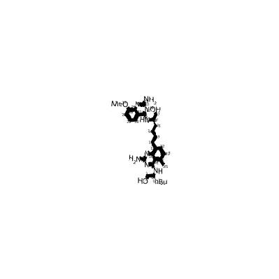 CCCC[C@H](CO)Nc1nc(N)nc2c(CCCC[C@H](CO)Nc3nc(N)nc4c(OC)cccc34)ccc(C)c12